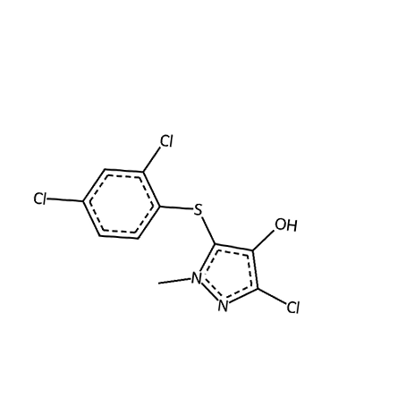 Cn1nc(Cl)c(O)c1Sc1ccc(Cl)cc1Cl